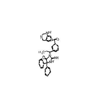 CCC(c1cccc(C(=O)n2cc3c(c2)NCN=C3)c1)N1C(=N)NC(c2ccccc2)(c2ccccc2)C1=O